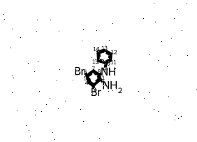 Nc1c(Br)cc(Br)cc1Nc1ccccc1